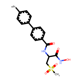 CCCc1ccc(-c2ccc(C(=O)NC(CS(C)(=O)=O)C(=O)NO)cc2)cc1